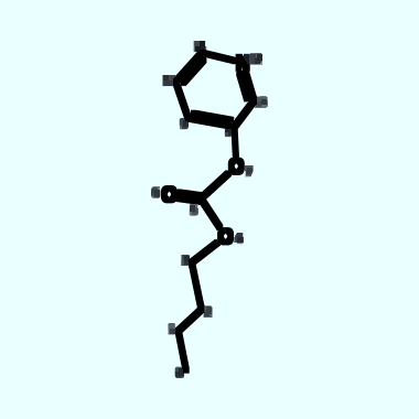 CCCCOC(=O)Oc1cccnc1